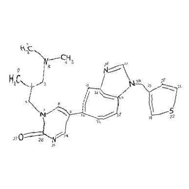 CC(CN(C)C)Cn1cc(-c2ccc3c(c2)ncn3-c2ccsc2)cnc1=O